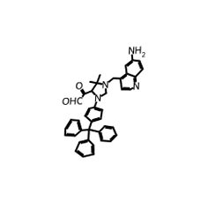 CC1(C)C(C(=O)C=O)N(c2ccc(C(c3ccccc3)(c3ccccc3)c3ccccc3)cc2)CN1Cc1ccnc2ccc(N)cc12